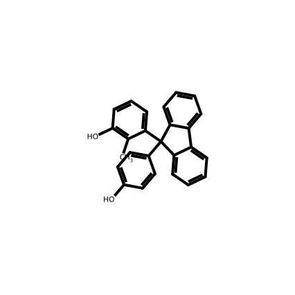 Cc1c(O)cccc1C1(c2ccc(O)cc2)c2ccccc2-c2ccccc21